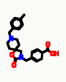 Cc1ccc(CN2CCC3(CC2)CN(CC2=CCC(C(=O)O)C=C2)C(=O)O3)cc1